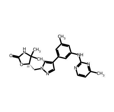 Cc1cc(Nc2nccc(C)n2)cc(-c2cnn(C[C@@H]3OC(=O)NC3(C)C)c2)c1